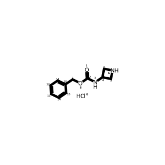 Cl.O=C(NC1CNC1)OCc1ccccc1